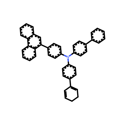 C1=CC(c2ccc(N(c3ccc(-c4ccccc4)cc3)c3ccc(-c4cc5ccccc5c5ccccc45)cc3)cc2)=CCC1